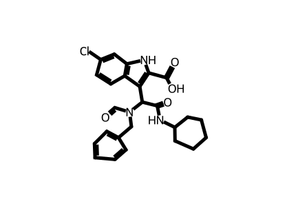 O=CN(Cc1ccccc1)C(C(=O)NC1CCCCC1)c1c(C(=O)O)[nH]c2cc(Cl)ccc12